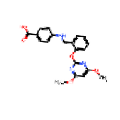 COc1cc(OC)nc(Oc2ccccc2CNc2ccc(C(=O)O)cc2)n1